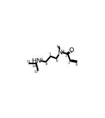 C=CC(=O)N(C)CCCNC(C)C